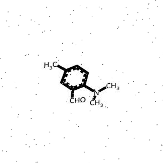 Cc1ccc(N(C)C)c(C=O)c1